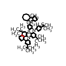 CC(C)(C)c1ccc(N2c3cc(N4c5ccccc5C5(C)CCCCCCC45C)ccc3B3c4cc(C(C)(C)C)ccc4N(c4ccc(C(C)(C)C)cc4-c4ccccc4)c4cc(C(C)(C)C)cc2c43)cc1